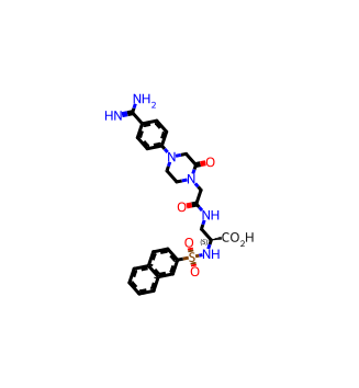 N=C(N)c1ccc(N2CCN(CC(=O)NC[C@H](NS(=O)(=O)c3ccc4ccccc4c3)C(=O)O)C(=O)C2)cc1